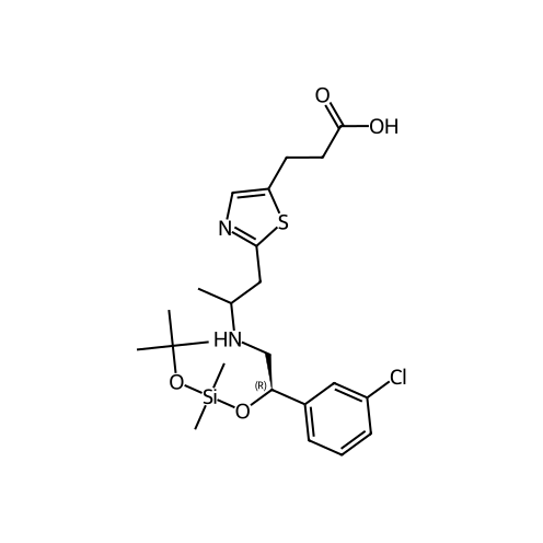 CC(Cc1ncc(CCC(=O)O)s1)NC[C@H](O[Si](C)(C)OC(C)(C)C)c1cccc(Cl)c1